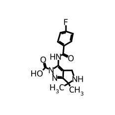 CC1(C)NCc2c1nn(C(=O)O)c2NC(=O)c1ccc(F)cc1